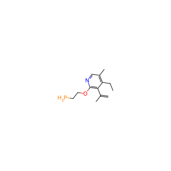 C=C(C)c1c(OCCP)ncc(C)c1CC